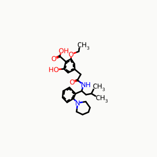 CCOc1cc(CC(=O)NC(CC(C)C)c2ccccc2N2CCCCC2)cc(O)c1C(=O)O